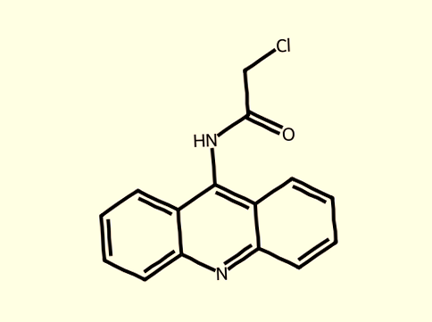 O=C(CCl)Nc1c2ccccc2nc2ccccc12